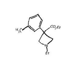 CCOC(=O)C1(c2cccc(C)c2)CN(CC)C1